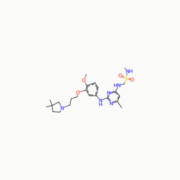 CNS(=O)(=O)CNc1cc(C)nc(Nc2ccc(OC)c(OCCCN3CCC(C)(C)C3)c2)n1